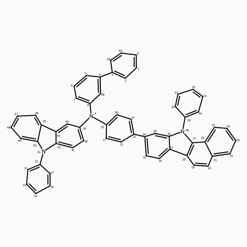 c1ccc(-c2cccc(N(c3ccc(-c4ccc5c6ccc7ccccc7c6n(-c6ccccc6)c5c4)cc3)c3ccc4c(c3)c3ccccc3n4-c3ccccc3)c2)cc1